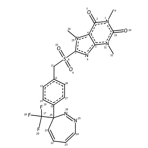 Cn1c(=O)c2c(nc(S(=O)(=O)Cc3ccc(C4(C(F)(F)F)C=CC=CN=N4)cc3)n2C)n(C)c1=O